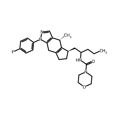 CCCC(C[C@H]1CCC2=C1[C@@H](C)c1cnn(-c3ccc(F)cc3)c1C2)NC(=O)N1CCOCC1